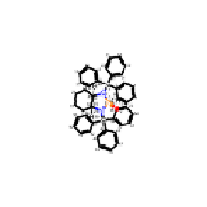 CP1(=O)N([Si](c2ccccc2)(c2ccccc2)c2ccccc2)[C@@H]2CCCC[C@H]2N1[Si](c1ccccc1)(c1ccccc1)c1ccccc1